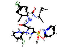 Cc1cc(Cl)cc(C(=O)NC(C)C2CC2)c1NC(=O)C1CC(S(=O)(=O)Oc2ccccn2)=NN1c1ncccc1Cl